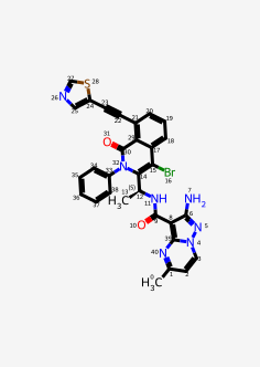 Cc1ccn2nc(N)c(C(=O)N[C@@H](C)c3c(Br)c4cccc(C#Cc5cncs5)c4c(=O)n3-c3ccccc3)c2n1